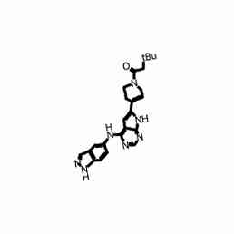 CC(C)(C)CC(=O)N1CC=C(c2cc3c(Nc4ccc5[nH]ncc5c4)ncnc3[nH]2)CC1